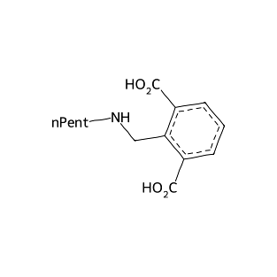 CCCCCNCc1c(C(=O)O)cccc1C(=O)O